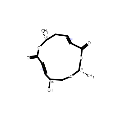 C[C@@H]1C/C=C/C(=O)O[C@H](C)CC[C@@H](O)/C=C/C(=O)O1